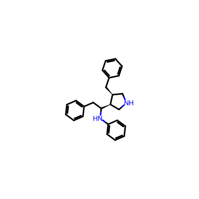 c1ccc(CC(Nc2ccccc2)[C@@H]2CNC[C@@H]2Cc2ccccc2)cc1